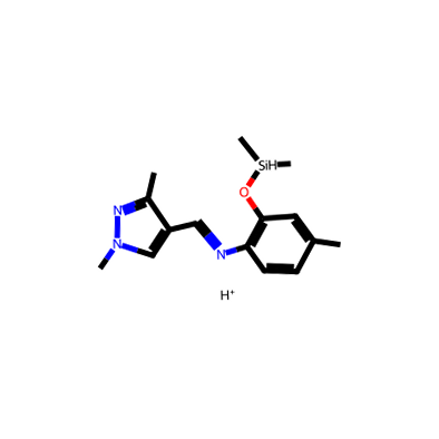 Cc1ccc(N=Cc2cn(C)nc2C)c(O[SiH](C)C)c1.[H+]